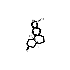 CC[C@@]12CCC(=O)C[C@@H]1CCCc1cc3c(cnn3C(C)=O)cc12